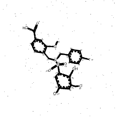 COc1cc(C(=O)O)ccc1CN(Cc1ccc(F)cc1)S(=O)(=O)c1cc(Cl)cc(Cl)c1O